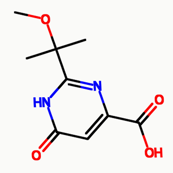 COC(C)(C)c1nc(C(=O)O)cc(=O)[nH]1